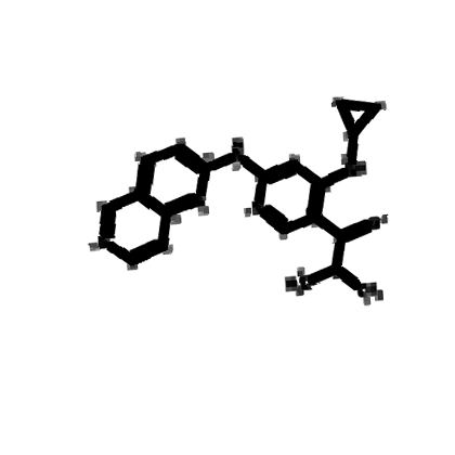 CC(C)C(=O)c1cnc(Nc2ccc3cnccc3n2)cc1NC1CC1